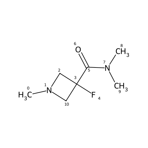 CN1CC(F)(C(=O)N(C)C)C1